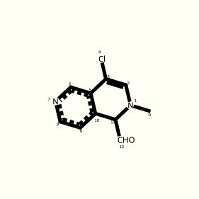 CN1C=C(Cl)c2cnccc2C1C=O